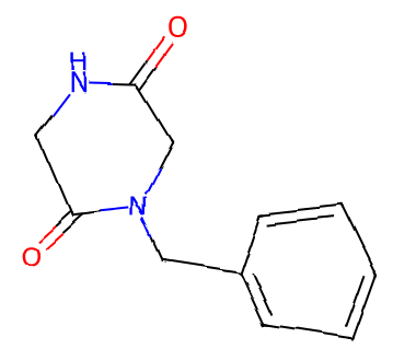 O=C1CN(Cc2ccccc2)C(=O)CN1